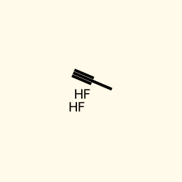 C#CC.F.F